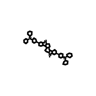 Cn1c2cc(-c3ccc(N(c4ccccc4)c4ccccc4)cc3)ccc2c2c3ccc4c(c3ccc21)c1ccc(-c2ccc(N(c3ccccc3)c3ccccc3)cc2)cc1n4C